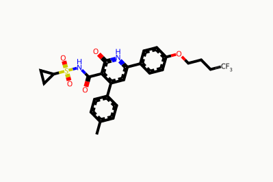 Cc1ccc(-c2cc(-c3ccc(OCCCC(F)(F)F)cc3)[nH]c(=O)c2C(=O)NS(=O)(=O)C2CC2)cc1